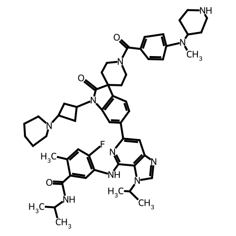 Cc1cc(F)c(Nc2nc(-c3ccc4c(c3)N(C3CC(N5CCCCC5)C3)C(=O)C43CCN(C(=O)c4ccc(N(C)C5CCNCC5)cc4)CC3)cc3ncn(C(C)C)c23)cc1C(=O)NC(C)C